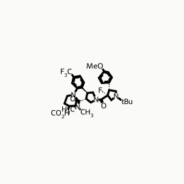 COc1ccc([C@@H]2CN(C(C)(C)C)C[C@@]2(F)C(=O)N2C[C@H](C(=O)N(C)C)[C@@H](c3ccc(C(F)(F)F)cc3N3CCC(C(=O)O)CC3)C2)cc1